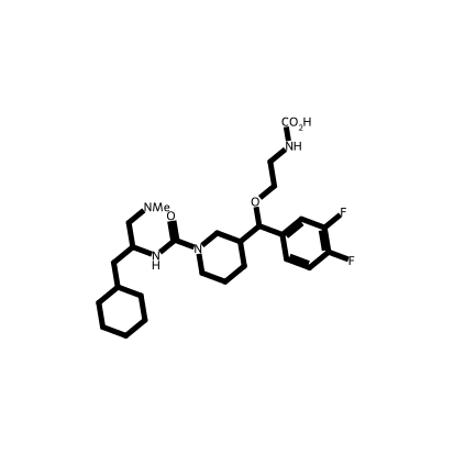 CNCC(CC1CCCCC1)NC(=O)N1CCCC(C(OCCNC(=O)O)c2ccc(F)c(F)c2)C1